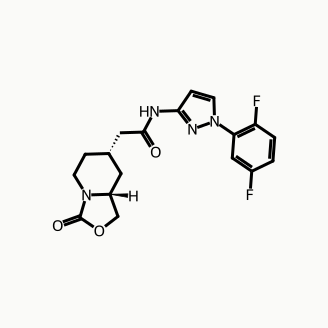 O=C(C[C@H]1CCN2C(=O)OC[C@H]2C1)Nc1ccn(-c2cc(F)ccc2F)n1